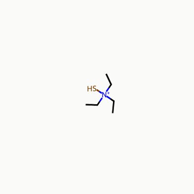 CC[N+](S)(CC)CC